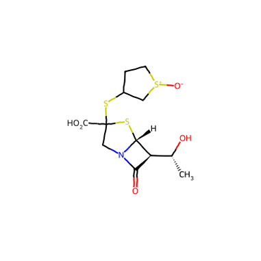 C[C@@H](O)[C@H]1C(=O)N2CC(SC3CC[S+]([O-])C3)(C(=O)O)S[C@H]12